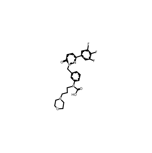 O=C(O)N(CCCN1CCOCC1)c1cccc(Cn2nc(-c3cc(F)c(F)c(F)c3)ccc2=O)c1